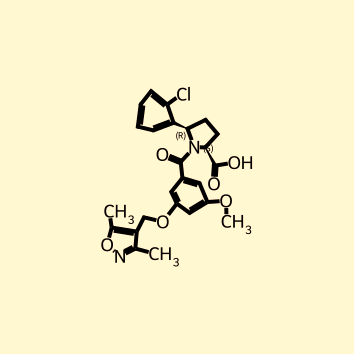 COc1cc(OCc2c(C)noc2C)cc(C(=O)N2[C@@H](c3ccccc3Cl)CC[C@H]2C(=O)O)c1